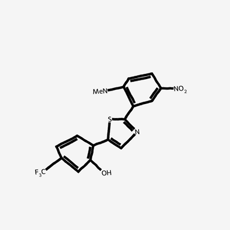 CNc1ccc([N+](=O)[O-])cc1-c1ncc(-c2ccc(C(F)(F)F)cc2O)s1